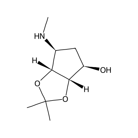 CN[C@H]1C[C@@H](O)[C@@H]2OC(C)(C)O[C@@H]21